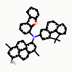 Cc1cc(N(c2cc3c4c(ccc5cccc(c54)C3(C)C)c2)c2cccc3c2oc2ccccc23)c2ccc3c(C)cc([N+](=O)[O-])c4ccc1c2c34